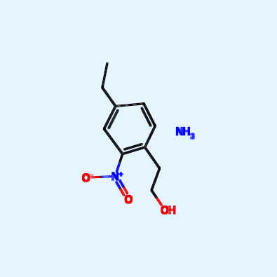 CCc1ccc(CCO)c([N+](=O)[O-])c1.N